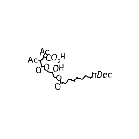 CCCCCCCCCCCCCCCCCC(=O)OCC(O)COC(=O)C(C(C)=O)C(C(C)=O)C(=O)O